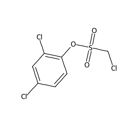 O=S(=O)(CCl)Oc1ccc(Cl)cc1Cl